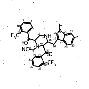 N#CCN1C(C(=O)c2ccccc2C(F)(F)F)CNC(Cc2c[nH]c3ccccc23)C1C(=O)c1ccccc1C(F)(F)F